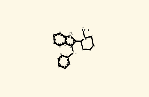 O=CN1CCCCC1c1[nH]c2ccccc2c1Sc1ccccc1